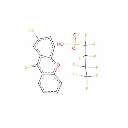 O=S(=O)(O)C(F)(F)C(F)(F)C(F)(F)C(F)(F)F.S=c1c2ccccc2oc2ccc(S)cc12